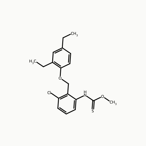 CCc1ccc(OCc2c(Cl)cccc2NC(=S)OC)c(CC)c1